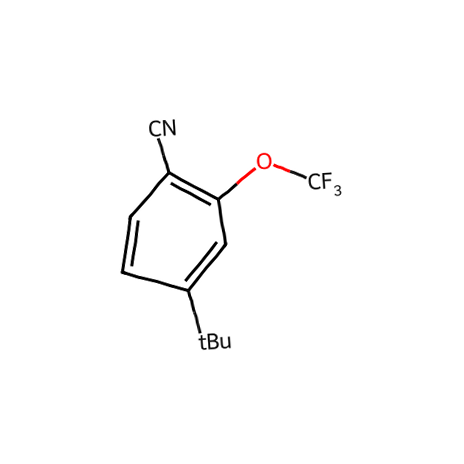 CC(C)(C)c1ccc(C#N)c(OC(F)(F)F)c1